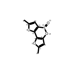 Cc1cc2c(o1)-c1oc(C)cc1S(=O)O2